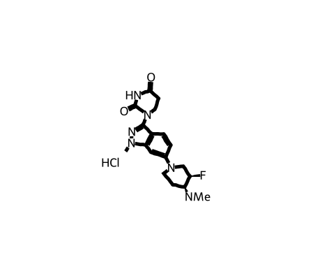 CN[C@H]1CCN(c2ccc3c(N4CCC(=O)NC4=O)nn(C)c3c2)C[C@H]1F.Cl